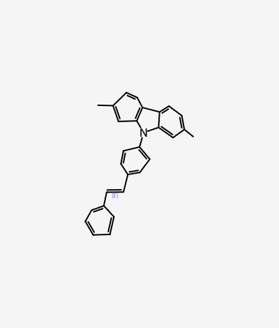 Cc1ccc2c3ccc(C)cc3n(-c3ccc(/C=C/c4ccccc4)cc3)c2c1